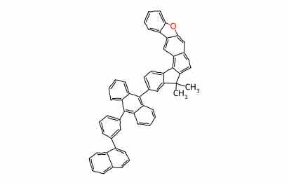 CC1(C)c2cc(-c3c4ccccc4c(-c4cccc(-c5cccc6ccccc56)c4)c4ccccc34)ccc2-c2c1ccc1cc3oc4ccccc4c3cc21